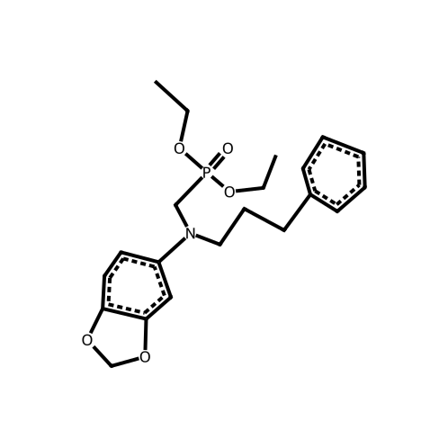 CCOP(=O)(CN(CCCc1ccccc1)c1ccc2c(c1)OCO2)OCC